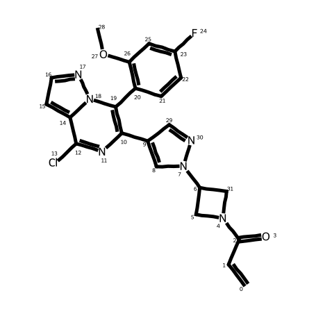 C=CC(=O)N1CC(n2cc(-c3nc(Cl)c4ccnn4c3-c3ccc(F)cc3OC)cn2)C1